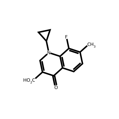 Cc1ccc2c(=O)c(C(=O)O)cn(C3CC3)c2c1F